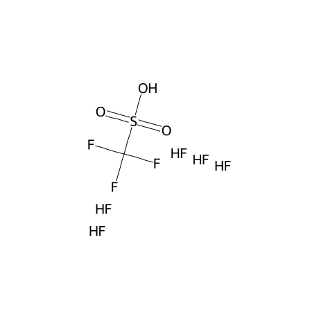 F.F.F.F.F.O=S(=O)(O)C(F)(F)F